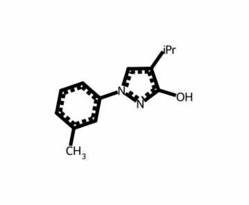 Cc1cccc(-n2cc(C(C)C)c(O)n2)c1